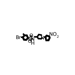 Cc1cc(S(=O)(=O)NCC2CCN(c3cccc([N+](=O)[O-])c3)CC2)ccc1Br